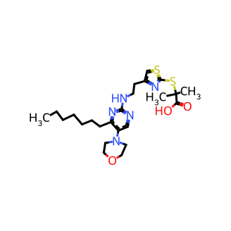 CCCCCCCc1nc(NCCc2csc(SC(C)(C)C(=O)O)n2)ncc1N1CCOCC1